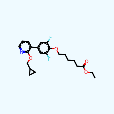 CCOC(=O)CCCCCOc1c(F)cc(-c2cccnc2OCC2CC2)cc1F